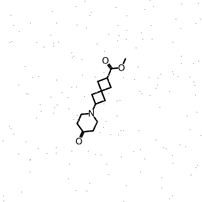 COC(=O)C1CC2(C1)CC(N1CCC(=O)CC1)C2